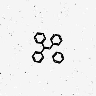 C(=C(c1ccccc1)c1ccccc1)c1ccccc1.c1ccccc1